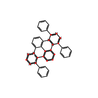 c1ccc(-c2nccnc2-c2cccc(-c3nccnc3-c3ccccc3)c2-c2c(-c3nccnc3-c3ccccc3)cccc2-c2nccnc2-c2ccccc2)cc1